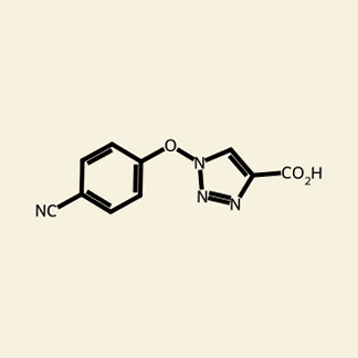 N#Cc1ccc(On2cc(C(=O)O)nn2)cc1